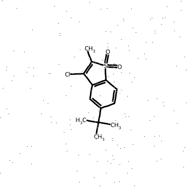 CC1=C(Cl)c2cc(C(C)(C)C)ccc2S1(=O)=O